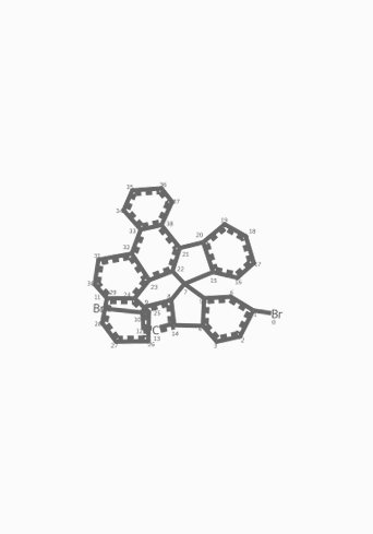 Brc1ccc2c(c1)C1(c3cc(Br)ccc3-2)c2ccccc2-c2c1c1c3ccccc3ccc1c1ccccc21